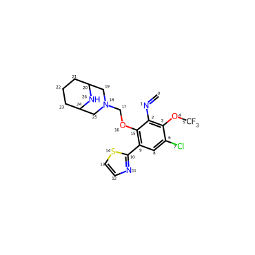 C=Nc1c(OC(F)(F)F)c(Cl)cc(-c2nccs2)c1OCN1CC2CCCC(C1)N2